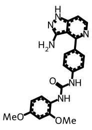 COc1ccc(NC(=O)Nc2ccc(-c3nccc4[nH]nc(N)c34)cc2)c(OC)c1